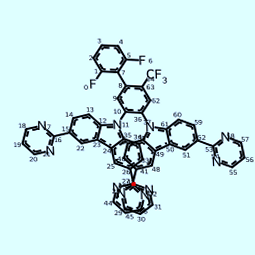 Fc1cccc(F)c1-c1cc(-n2c3ccc(-c4ncccn4)cc3c3cc(-c4ncccn4)ccc32)c(-n2c3ccc(-c4ncccn4)cc3c3cc(-c4ncccn4)ccc32)cc1C(F)(F)F